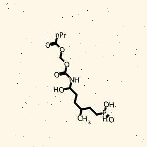 CCCC(=O)OCOC(=O)NC(O)CCC(C)CC[PH](=O)O